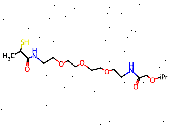 CC(C)OCC(=O)NCCOCCOCCOCCNC(=O)C(C)S